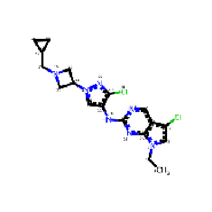 CCn1cc(Cl)c2cnc(Nc3cn(C4CN(CC5CC5)C4)nc3Cl)nc21